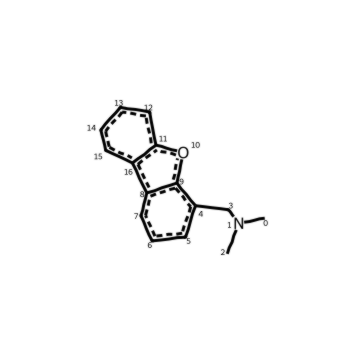 CN(C)Cc1cccc2c1oc1ccccc12